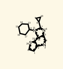 c1cc2ncc3nc(C4CC4)n(C4CCCCC4)c3c2s1